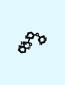 O=C(Nc1ncccc1F)c1cc(Oc2cncnc2)ccn1